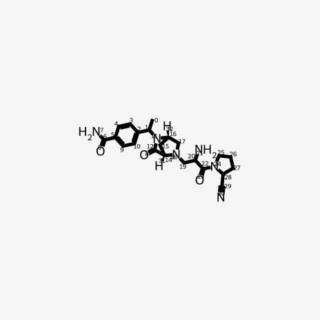 CC(c1ccc(C(N)=O)cc1)N1C(=O)[C@@H]2C[C@H]1CN2CC(N)C(=O)N1CCCC1C#N